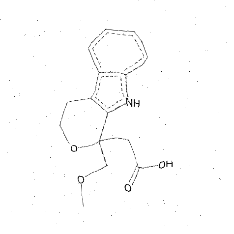 COCC1(CC(=O)O)OCCc2c1[nH]c1ccccc21